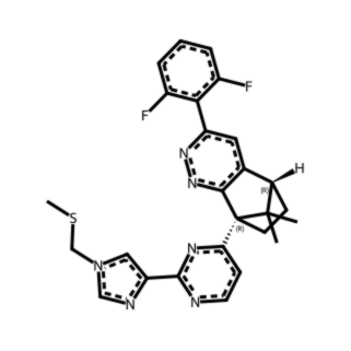 CSCn1cnc(-c2nccc([C@]34CC[C@@H](c5cc(-c6c(F)cccc6F)nnc53)C4(C)C)n2)c1